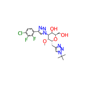 CO[C@@H]1[C@@H](n2cc(-c3ccc(Cl)c(F)c3F)nn2)[C@@H](O)[C@@H](CO)O[C@@H]1Cc1cn(C(C)(C)C)nn1